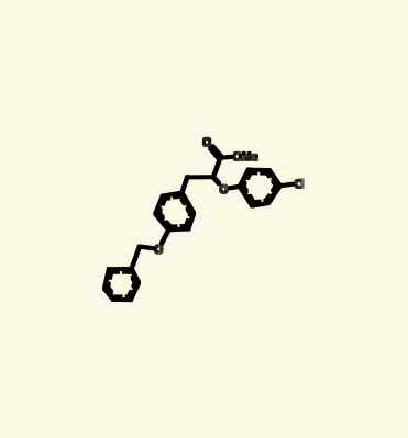 COC(=O)C(Cc1ccc(OCc2ccccc2)cc1)Oc1ccc(Cl)cc1